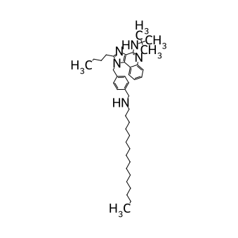 CCCCCCCCCCCCCCCCNCc1ccc(Cn2c(CCCC)nc3c(NC(C)(C)C)nc4ccccc4c32)cc1